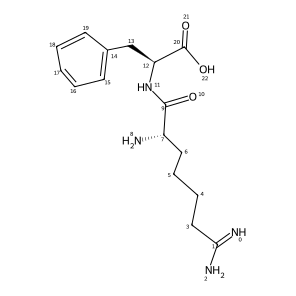 N=C(N)CCCC[C@H](N)C(=O)N[C@@H](Cc1ccccc1)C(=O)O